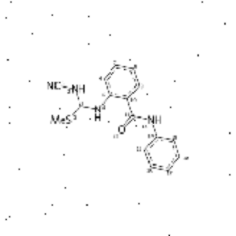 CSC(NC#N)Nc1ccccc1C(=O)Nc1ccccc1